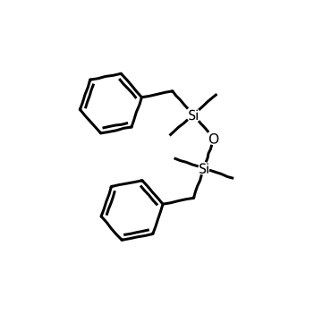 C[Si](C)(Cc1ccccc1)O[Si](C)(C)Cc1ccccc1